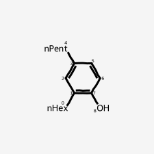 CCCCCCc1cc(CCCCC)ccc1O